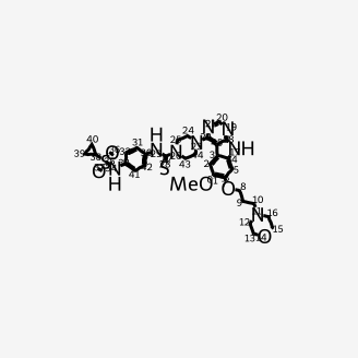 COc1cc2c(cc1OCCCN1CCOCC1)[nH]c1ncnc(N3CCN(C(=S)Nc4ccc(NS(=O)(=O)C5CC5)cc4)CC3)c12